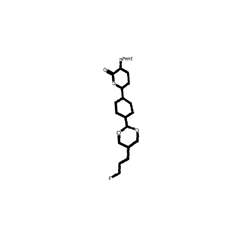 CCCCCC1CCC(C2CCC(C3OCC(CCCF)CO3)CC2)OC1=O